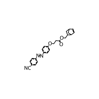 N#Cc1ccc(/N=N/c2ccc(OCCC(=O)OCC3CC4C=CC3C4)cc2)cc1